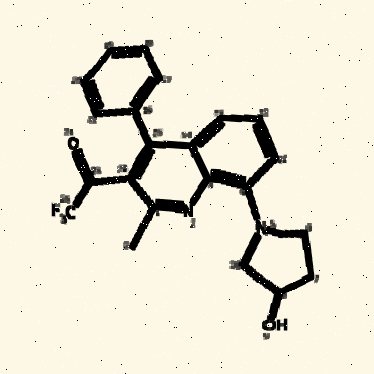 Cc1nc2c(N3CCC(O)C3)cccc2c(-c2ccccc2)c1C(=O)C(F)(F)F